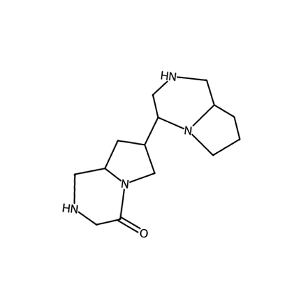 O=C1CNCC2CC(C3CNCC4CCCN43)CN12